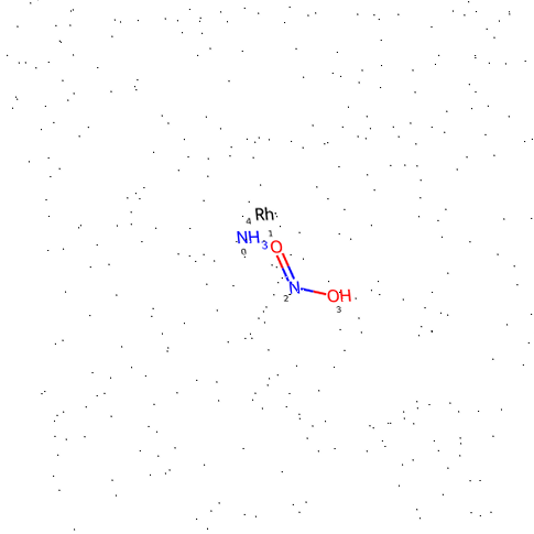 N.O=NO.[Rh]